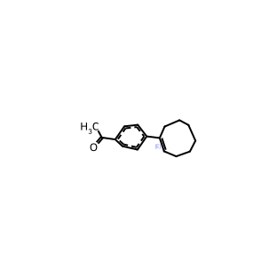 CC(=O)c1ccc(/C2=C/CCCCCC2)cc1